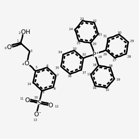 O=C(O)COc1cccc(S(=O)(=O)[O-])c1.c1ccc([P+](c2ccccc2)(c2ccccc2)c2ccccc2)cc1